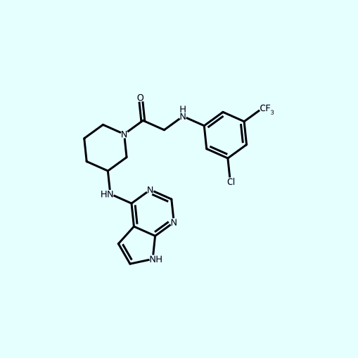 O=C(CNc1cc(Cl)cc(C(F)(F)F)c1)N1CCCC(Nc2ncnc3[nH]ccc23)C1